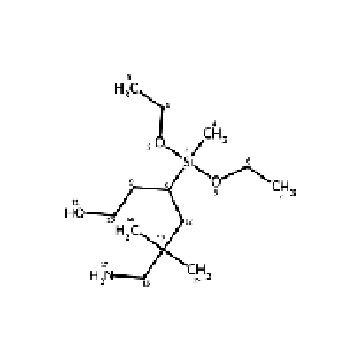 CCO[Si](C)(OCC)C(CCO)CC(C)(C)CN